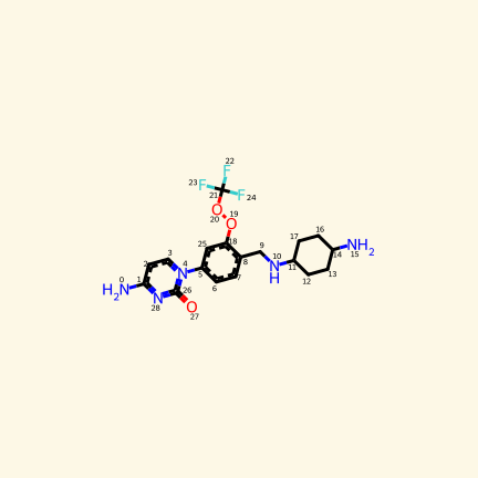 Nc1ccn(-c2ccc(CNC3CCC(N)CC3)c(OOC(F)(F)F)c2)c(=O)n1